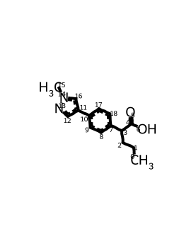 CCCC(C(=O)O)c1ccc(-c2cnn(C)c2)cc1